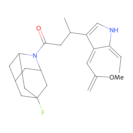 C=C(/C=c1/c(C(C)CC(=O)N2C3CC4CC2CC(F)(C4)C3)c[nH]/c1=C/C)OC